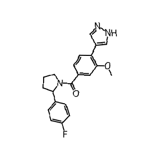 COc1cc(C(=O)N2CCCC2c2ccc(F)cc2)ccc1-c1cn[nH]c1